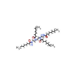 CCCCCCCC(=O)NCCN(CCN(CCNC(=O)CCCCCCC)C(=O)CCCCCCC)C(=O)CCCCCCC